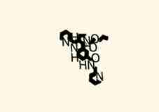 C=CCOC(=O)N1CC[C@H]2C(c3ccccn3)Nc3ccc(C(=O)NCc4ccccn4)cc3[C@H]21